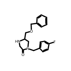 O=C1CNC(COCc2ccccc2)CN1Cc1ccc(F)cc1